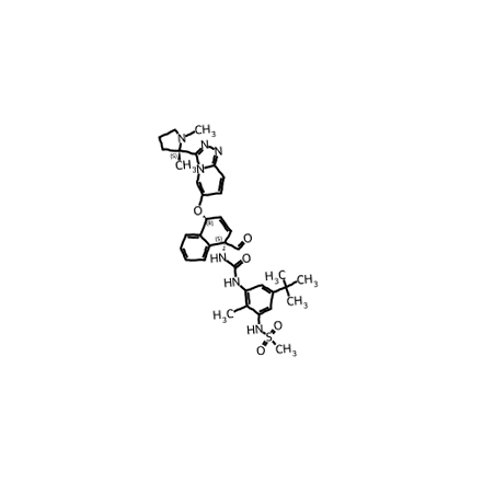 Cc1c(NC(=O)N[C@@]2(C=O)C=C[C@@H](Oc3ccc4nnc([C@]5(C)CCCN5C)n4c3)c3ccccc32)cc(C(C)(C)C)cc1NS(C)(=O)=O